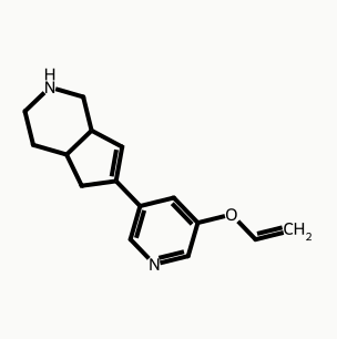 C=COc1cncc(C2=CC3CNCCC3C2)c1